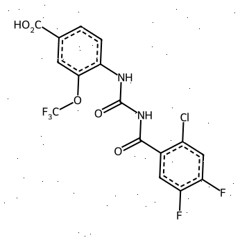 O=C(NC(=O)c1cc(F)c(F)cc1Cl)Nc1ccc(C(=O)O)cc1OC(F)(F)F